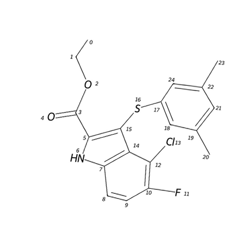 CCOC(=O)c1[nH]c2ccc(F)c(Cl)c2c1Sc1cc(C)cc(C)c1